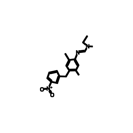 CCN(C)C=Nc1cc(C)c(Cc2cccc([N+](=O)[O-])c2)cc1C